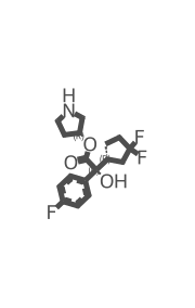 O=C(O[C@@H]1CCNC1)[C@](O)(c1ccc(F)cc1)[C@@H]1CCC(F)(F)C1